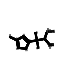 CCCCCCC(CCC)C(C)(C)C1=CC(C)=CC1